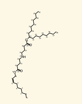 CCCCCC/C=C\COC(=O)CCCNCCCC(=O)OC(CCCCCCCC)CCCCCCCC